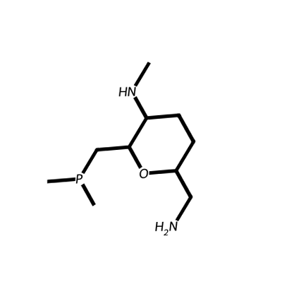 CNC1CCC(CN)OC1CP(C)C